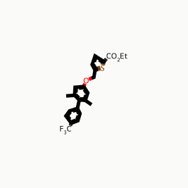 CCOC(=O)c1ccc(COc2cc(C)c(-c3ccc(C(F)(F)F)cc3)c(C)c2)s1